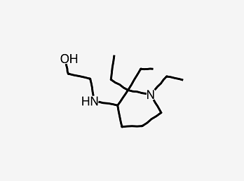 CCN1CCCC(NCCO)C1(CC)CC